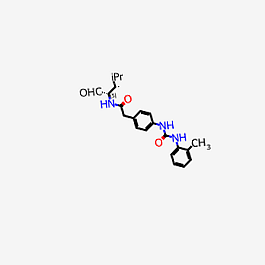 Cc1ccccc1NC(=O)Nc1ccc(CC(=O)N[C@@H]([CH]C(C)C)C=O)cc1